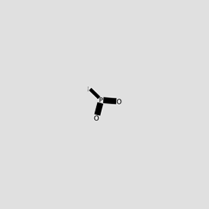 [C]P(=O)=O